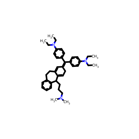 CCN(CC)c1ccc(C(=C2C=C3CCc4ccccc4C(CCCN(C)C)C3=CC2)c2ccc(N(CC)CC)cc2)cc1